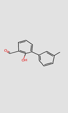 Cc1cccc(-c2cccc(C=O)c2O)c1